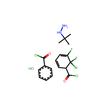 CC(C)(C)NN.Cl.O=C(Cl)C1C=CC=C(F)C1(F)Br.O=C(Cl)c1ccccc1